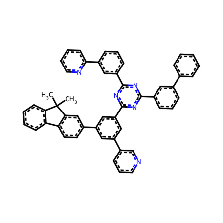 CC1(C)c2ccccc2-c2ccc(-c3cc(-c4cccnc4)cc(-c4nc(-c5cccc(-c6ccccc6)c5)nc(-c5cccc(-c6ccccn6)c5)n4)c3)cc21